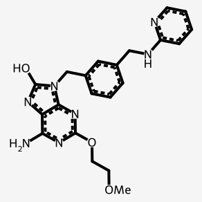 COCCOc1nc(N)c2nc(O)n(Cc3cccc(CNc4ccccn4)c3)c2n1